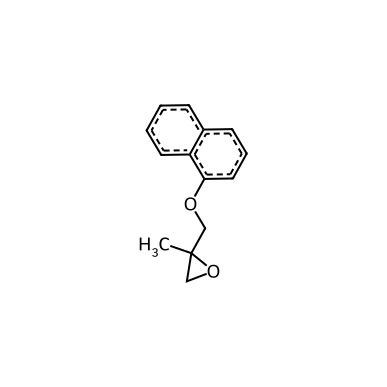 CC1(COc2cccc3ccccc23)CO1